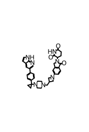 O=C1CCC(N2Cc3cc(N4CC(CN5CCN(C6(c7ccc(-c8cnc9[nH]ccc9c8)cc7)CC6)CC5)C4)ccc3C2=O)C(=O)N1